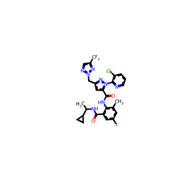 Cc1cc(I)cc(C(=O)NC(C)C2CC2)c1NC(=O)c1cc(Cn2ncc(C(F)(F)F)n2)nn1-c1ncccc1Cl